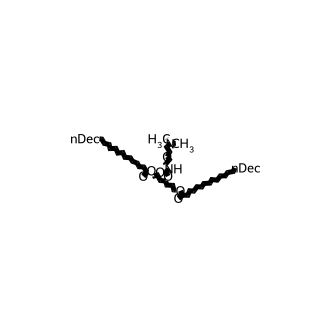 CCCCCCCCCCCCCCCCCCCCCCCC(=O)OCCCC(CCCOC(=O)CCCCCCCCCCCCCCCCCCCCCCC)OC(=O)NCCOCCN(C)C